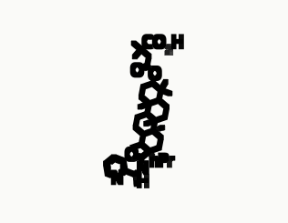 CCC[C@]1(C(=O)N[C@@H](C)c2ccccn2)CC[C@]2(C)C(CCC3C4(C)CCC(OC(=O)CC(C)(C)C(=O)O)C(C)(C)C4CCC32C)C1C